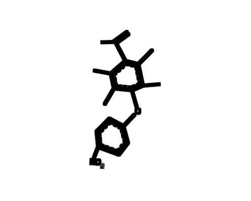 C=C(C)c1c(C)c(C)c(Oc2ccc([N+](=O)[O-])cc2)c(C)c1C